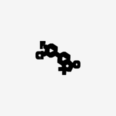 CC1(C)CC(=O)c2ccc(-c3ccc(F)c(Cl)c3)cc21